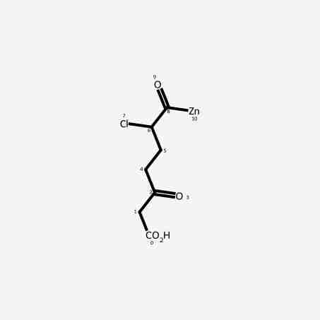 O=C(O)CC(=O)CCC(Cl)[C](=O)[Zn]